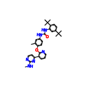 CNc1nccc(-c2cccnc2Oc2ccc(NC(=O)Nc3cc(C(C)(C)C)ccc3C(C)(C)C)cc2C)n1